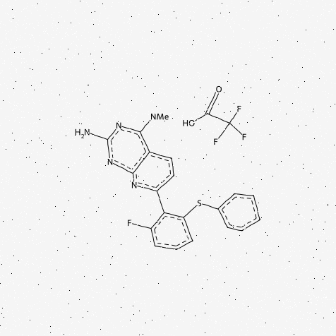 CNc1nc(N)nc2nc(-c3c(F)cccc3Sc3ccccc3)ccc12.O=C(O)C(F)(F)F